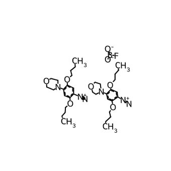 CCCCOc1cc(N2CCOCC2)c(OCCCC)cc1[N+]#N.CCCCOc1cc(N2CCOCC2)c(OCCCC)cc1[N+]#N.[O-]B([O-])F